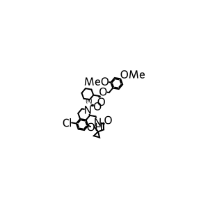 COc1ccc(COC(=O)C2CCCC[C@H]2C(=O)N2CCc3c(Cl)ccc(O)c3C2CN2CC3(CC3)CC2=O)c(OC)c1